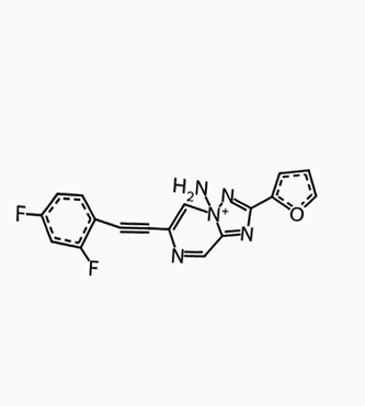 N[N+]12C=C(C#Cc3ccc(F)cc3F)N=CC1=NC(c1ccco1)=N2